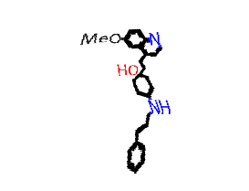 COc1ccc2nccc(CCC3(O)CCC(NCC=Cc4ccccc4)CC3)c2c1